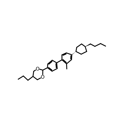 CCCC[C@H]1CC[C@H](c2ccc(-c3ccc(C4OCC(CCC)CO4)cc3)c(C)c2)CC1